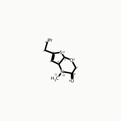 CC(C)CC1=CC2C(OCC(=O)N2C)S1